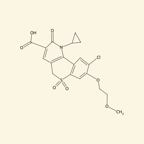 COCCOc1cc2c(cc1Cl)-c1c(cc(C(=O)O)c(=O)n1C1CC1)CS2(=O)=O